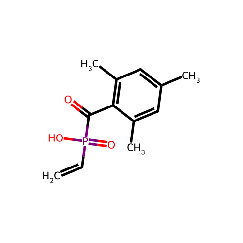 C=CP(=O)(O)C(=O)c1c(C)cc(C)cc1C